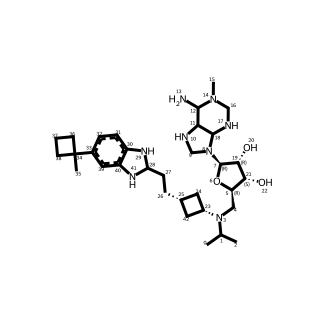 CC(C)N(C[C@H]1O[C@@H](N2CNC3C(N)N(C)CNC32)[C@H](O)[C@@H]1O)[C@H]1C[C@@H](CCC2Nc3ccc(C4(C)CCC4)cc3N2)C1